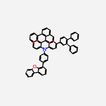 c1ccc(-c2ccc(-c3ccc(N(c4ccc(-c5cccc6c5oc5ccccc56)cc4)c4ccccc4-c4cccc5cccc(-c6ccccc6)c45)cc3)cc2-c2ccccc2)cc1